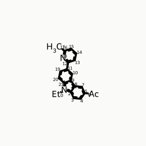 CCn1c2ccc(C(C)=O)cc2c2cc(-c3cccc(C)n3)ccc21